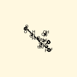 CC(C)(C)C(c1cc(-c2cc(F)ccc2F)cn1Cc1ccccc1)N(C[C@@H]1CNC[C@@H]1F)C(=O)CSCCC(=O)NCCNC(=O)CCCCCN1C(=O)C=CC1=O.O=C(O)C(F)(F)F